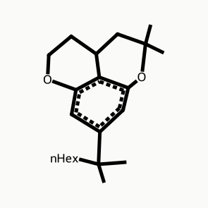 CCCCCCC(C)(C)c1cc2c3c(c1)OC(C)(C)CC3CCO2